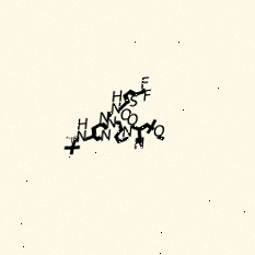 CCOC(C)(C)C=C(C#N)C(=O)N1CCCC1Cn1c(NC(=O)c2ccc(C(F)F)s2)nc2cc(CN[C@@H](C)C(C)(C)C)cnc21